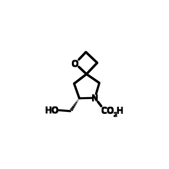 O=C(O)N1CC2(CCO2)C[C@H]1CO